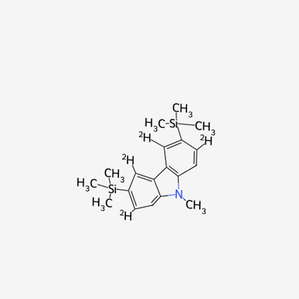 [2H]c1cc2c(c([2H])c1[Si](C)(C)C)c1c([2H])c([Si](C)(C)C)c([2H])cc1n2C